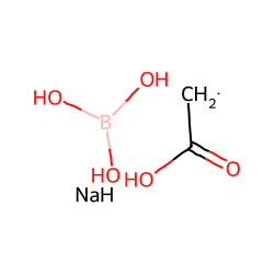 OB(O)O.[CH2]C(=O)O.[NaH]